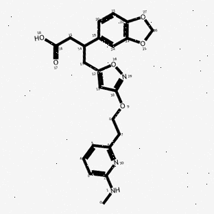 CNc1cccc(CCOc2cc(CC(CC(=O)O)c3ccc4c(c3)OCO4)on2)n1